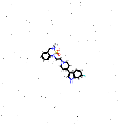 CCN1Cc2ccccc2N(CCN2CC=C(c3c[nH]c4cc(F)ccc34)CC2)S1(=O)=O